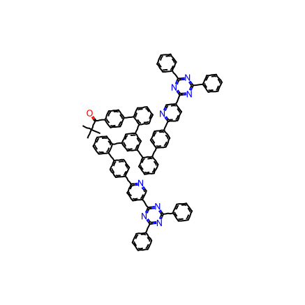 CC(C)(C)C(=O)c1ccc(-c2ccccc2-c2cc(-c3ccccc3-c3ccc(-c4ccc(-c5nc(-c6ccccc6)nc(-c6ccccc6)n5)cn4)cc3)cc(-c3ccccc3-c3ccc(-c4ccc(-c5nc(-c6ccccc6)nc(-c6ccccc6)n5)cn4)cc3)c2)cc1